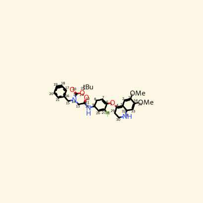 COC1=CC2=C(OC3=CCC(NC(=O)CN(Cc4cc#ccc4)C(=O)OC(C)(C)C)C=C3F)CCNC2C=C1OC